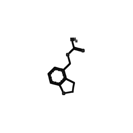 NC(=O)OCc1cccc2c1CCO2